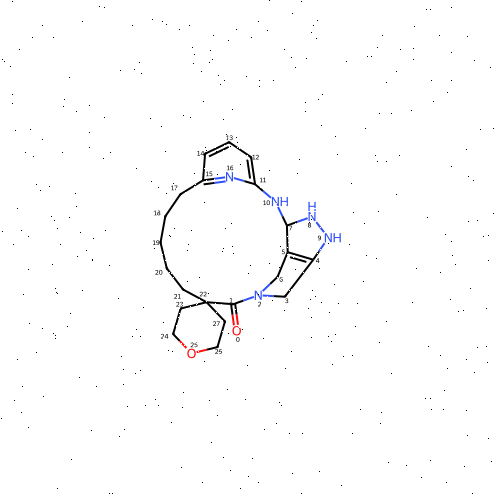 O=C1N2CC3=C(C2)C(NN3)Nc2cccc(n2)CCCCCC12CCOCC2